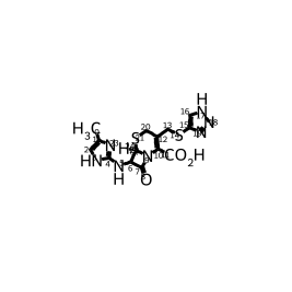 Cc1c[nH]c(NC2C(=O)N3C(C(=O)O)=C(CSc4c[nH]nn4)CS[C@@H]23)n1